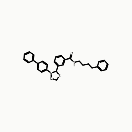 O=C(NCCCCc1ccccc1)c1cccc(C2SCON2c2ccc(-c3ccccc3)cc2)c1